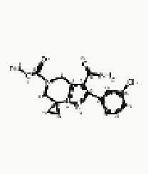 CC(C)(C)OC(=O)N1Cc2c(C(N)=O)c(-c3cccc(Cl)c3)nn2C2(CC2)C1